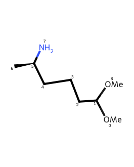 COC(CCC[C@@H](C)N)OC